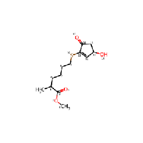 COC(=O)C(C)CCCCSC1=CC(O)CC1=O